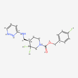 O=C(OCc1ccc(F)cc1)N1CC[C@H](CNc2cccnn2)C(F)(F)C1